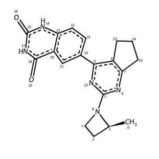 C[C@H]1CCN1c1nc2c(c(-c3ccc4[nH]c(=O)[nH]c(=O)c4c3)n1)CCC2